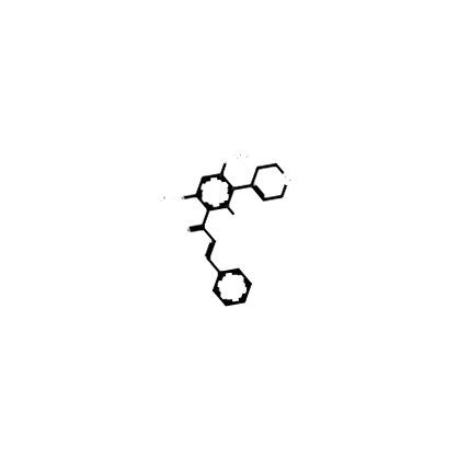 COc1cc(OC)c(C2=CCNCC2)c(O)c1C(=O)/C=C/c1ccccc1